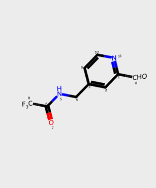 O=Cc1cc(CNC(=O)C(F)(F)F)ccn1